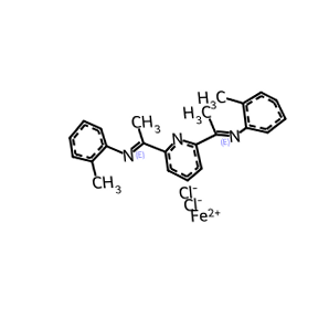 C/C(=N\c1ccccc1C)c1cccc(/C(C)=N/c2ccccc2C)n1.[Cl-].[Cl-].[Fe+2]